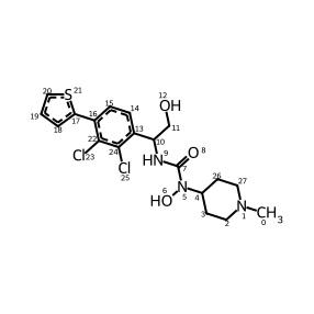 CN1CCC(N(O)C(=O)NC(CO)c2ccc(-c3cccs3)c(Cl)c2Cl)CC1